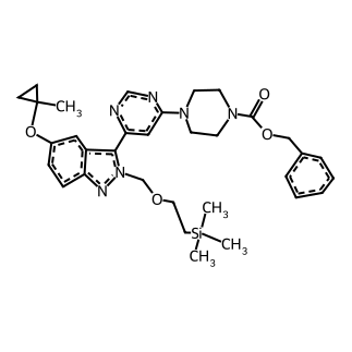 CC1(Oc2ccc3nn(COCC[Si](C)(C)C)c(-c4cc(N5CCN(C(=O)OCc6ccccc6)CC5)ncn4)c3c2)CC1